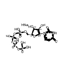 O=c1ccn([C@@H]2O[C@H](COP(=O)(O)OP(=O)(O)OP(=O)(O)OP(=O)(O)O)[C@@H](O)[C@H]2O)c(=O)[nH]1.[NaH]